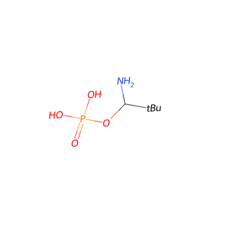 CC(C)(C)C(N)OP(=O)(O)O